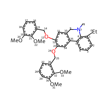 CCc1cccc2c1N(C)Cc1cc(OCc3cccc(OC)c3OC)c(OCc3cccc(OC)c3OC)cc1-2